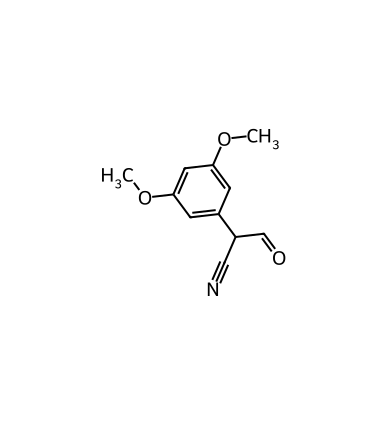 COc1cc(OC)cc(C(C#N)C=O)c1